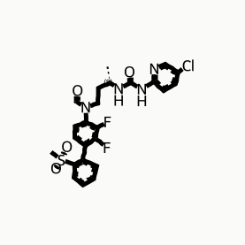 C[C@@H](CCN(C=O)c1ccc(-c2ccccc2S(C)(=O)=O)c(F)c1F)NC(=O)Nc1ccc(Cl)cn1